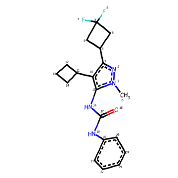 Cn1nc(C2CC(F)(F)C2)c(C2CCC2)c1NC(=O)Nc1ccccc1